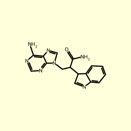 NC(=O)C(Cn1cnc2c(N)ncnc21)C1C=Nc2ccccc21